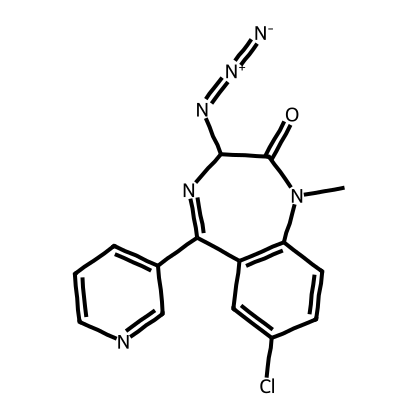 CN1C(=O)C(N=[N+]=[N-])N=C(c2cccnc2)c2cc(Cl)ccc21